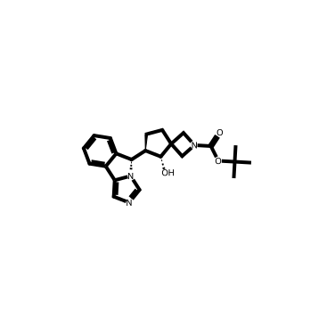 CC(C)(C)OC(=O)N1CC2(CC[C@H]([C@H]3c4ccccc4-c4cncn43)[C@H]2O)C1